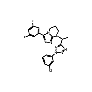 CC(c1nnn(-c2cccc(Cl)c2)n1)N1CCCn2c(-c3cc(F)cc(F)c3)nnc21